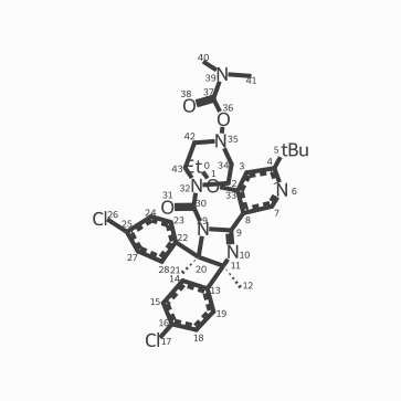 CCOc1cc(C(C)(C)C)ncc1C1=N[C@@](C)(c2ccc(Cl)cc2)[C@@](C)(c2ccc(Cl)cc2)N1C(=O)N1CCN(OC(=O)N(C)C)CC1